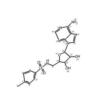 Cc1ccc(S(=O)(=O)NCC2OC(n3cnc4c(N)ncnc43)C(O)C2O)cc1